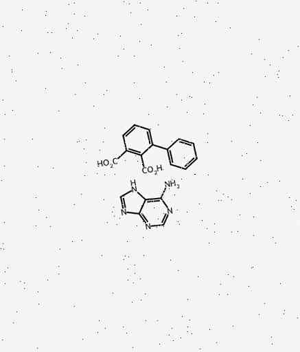 Nc1ncnc2nc[nH]c12.O=C(O)c1cccc(-c2ccccc2)c1C(=O)O